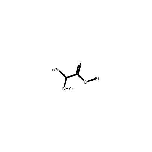 CCCC(NC(C)=O)C(=S)OCC